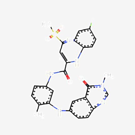 Cc1ccc(NC(=O)/C(=C/C(=N)S(C)(=O)=O)Nc2ccc(F)cc2)cc1Nc1ccc2ncn(C)c(=O)c2c1